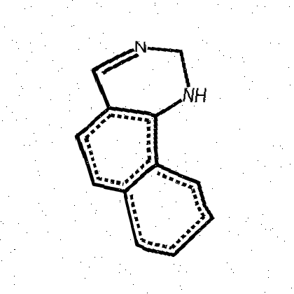 C1=NCNc2c1ccc1ccccc21